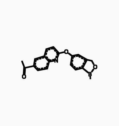 CB1OCc2cc(Oc3ccc4cc(C(C)=O)ccc4n3)ccc21